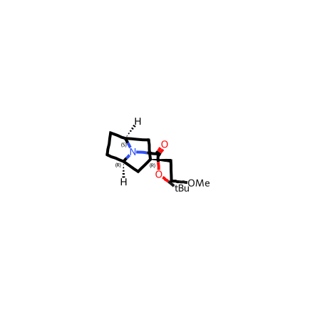 COCC[C@H]1C[C@H]2CC[C@@H](C1)N2C(=O)OC(C)(C)C